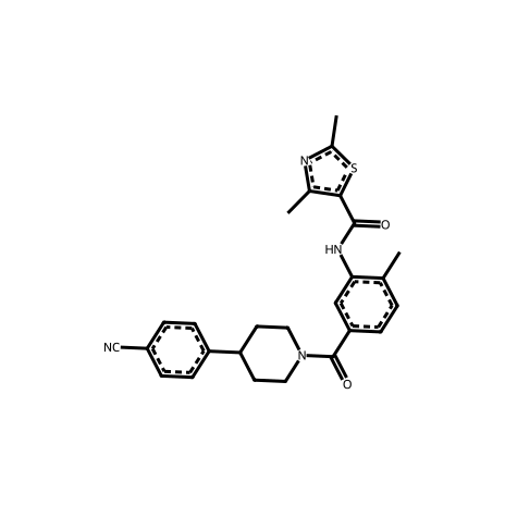 Cc1nc(C)c(C(=O)Nc2cc(C(=O)N3CCC(c4ccc(C#N)cc4)CC3)ccc2C)s1